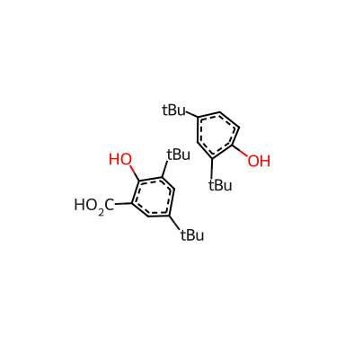 CC(C)(C)c1cc(C(=O)O)c(O)c(C(C)(C)C)c1.CC(C)(C)c1ccc(O)c(C(C)(C)C)c1